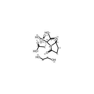 O=C(O)C[C@](C(=O)O)(N1C(=O)CCC1=O)S(=O)(=O)O.OCCO